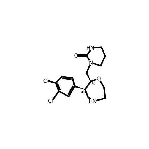 O=C1NCCCN1C[C@H]1OCCNC[C@H]1c1ccc(Cl)c(Cl)c1